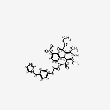 CCOC(=O)C1=C(C)NC(C)=C(C(=O)OOCCc2ccc(Cn3ccnc3)cc2)C1c1cccc([N+](=O)[O-])c1